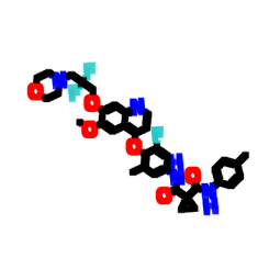 COc1cc2c(Oc3c(C)cc(NC(=O)C4(C(=O)Nc5ccc(C)cc5)CC4)cc3F)ccnc2cc1OCC(F)(F)CN1CCOCC1